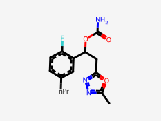 CCCc1ccc(F)c(C(Cc2nnc(C)o2)OC(N)=O)c1